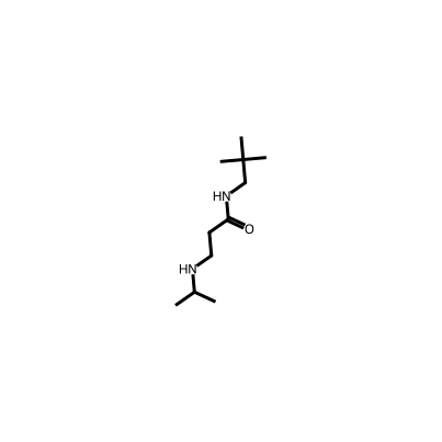 CC(C)NCCC(=O)NCC(C)(C)C